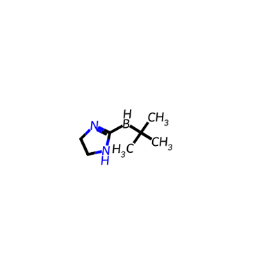 CC(C)(C)BC1=NCCN1